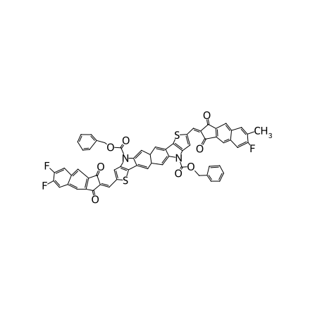 Cc1cc2cc3c(cc2cc1F)C(=O)/C(=C\c1cc2c(s1)c1c(n2C(=O)OCc2ccccc2)=CC2C=c4c(n(C(=O)OCc5ccccc5)c5cc(C=C6C(=O)c7cc8cc(F)c(F)cc8cc7C6=O)sc45)=CC2C=1)C3=O